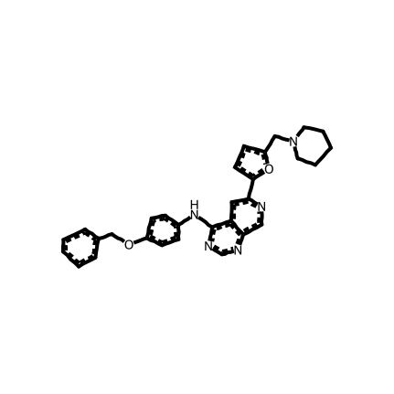 c1ccc(COc2ccc(Nc3ncnc4cnc(-c5ccc(CN6CCCCC6)o5)cc34)cc2)cc1